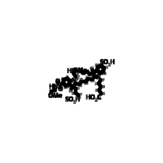 COCCNS(=O)(=O)c1ccc2c(c1)C(C)(CCCS(=O)(=O)O)C(/C=C/C=C/C=C1/N(CCCCCC(=O)O)c3ccc(S(=O)(=O)O)cc3C1(C)CCCS(=O)(=O)O)=[N+]2CCOC